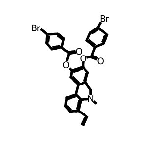 C=Cc1cccc2c1N(C)Cc1cc(OC(=O)c3ccc(Br)cc3)c(OC(=O)c3ccc(Br)cc3)cc1-2